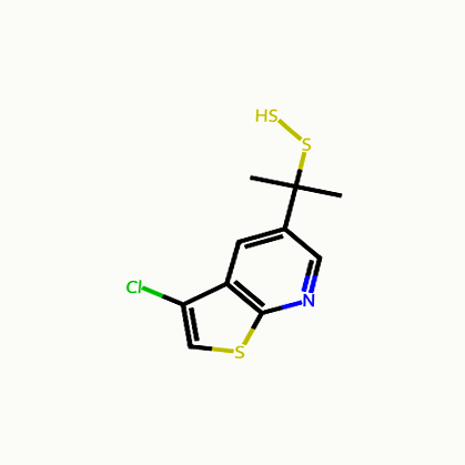 CC(C)(SS)c1cnc2scc(Cl)c2c1